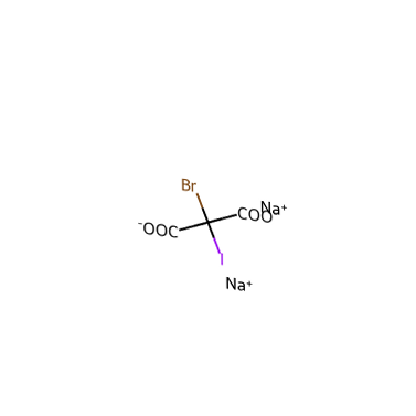 O=C([O-])C(Br)(I)C(=O)[O-].[Na+].[Na+]